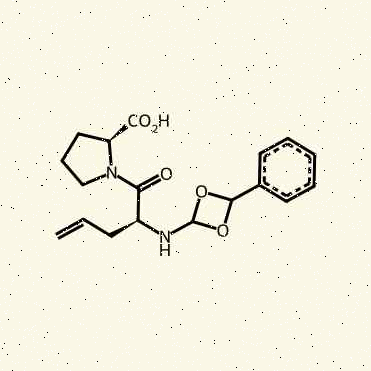 C=CC[C@H](NC1OC(c2ccccc2)O1)C(=O)N1CCC[C@H]1C(=O)O